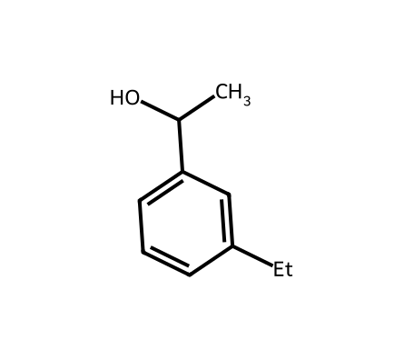 CCc1cccc(C(C)O)c1